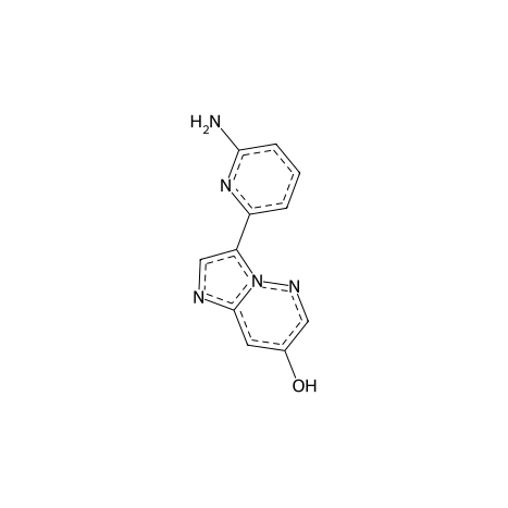 Nc1cccc(-c2cnc3cc(O)cnn23)n1